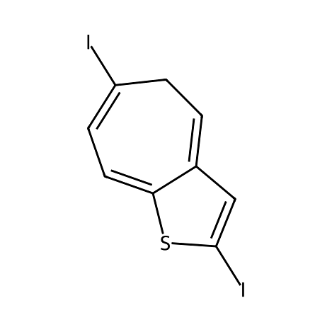 IC1=CC=c2sc(I)cc2=CC1